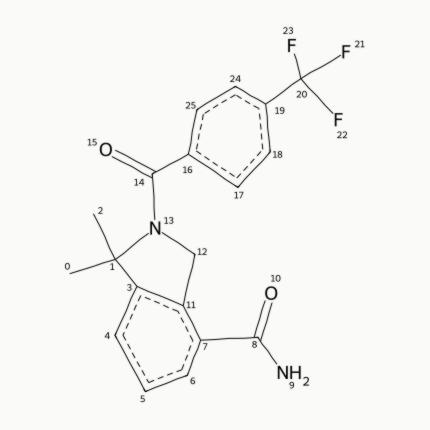 CC1(C)c2cccc(C(N)=O)c2CN1C(=O)c1ccc(C(F)(F)F)cc1